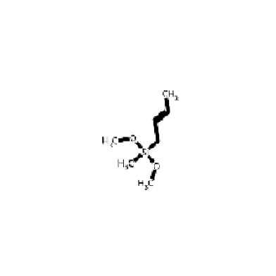 CC=CC[Si](C)(OC)OC